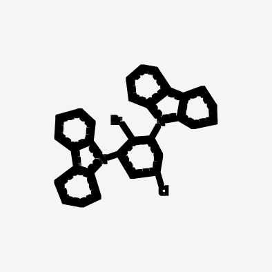 Clc1cc(-n2c3ccccc3c3ccccc32)c(Br)c(-n2c3ccccc3c3ccccc32)c1